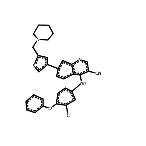 N#Cc1cnc2cc(-c3csc(CN4CCCCC4)c3)ccc2c1Nc1ccc(Oc2ccccc2)c(Cl)c1